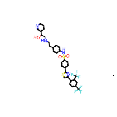 O=S(=O)(Nc1ccc(CCNCC(O)c2cccnc2)cc1)c1ccc(-c2nc(-c3ccc(C(F)(F)F)cc3C(F)(F)F)cs2)cc1